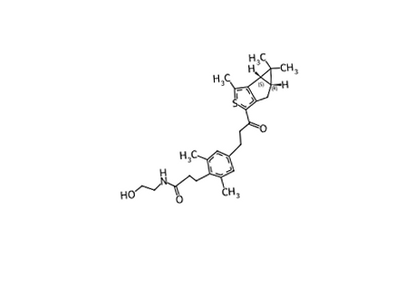 Cc1cc(CCC(=O)c2sc(C)c3c2C[C@@H]2[C@H]3C2(C)C)cc(C)c1CCC(=O)NCCO